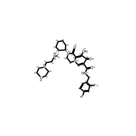 O=C(NCc1ccc(F)cc1F)c1cn2c(c(O)c1=O)C(=O)N([C@H]1CCCC[C@H]1CNCCN1CCOCC1)CC2